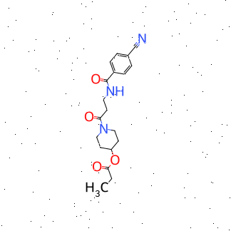 CCC(=O)OC1CCN(C(=O)CCNC(=O)c2ccc(C#N)cc2)CC1